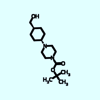 CC(C)(C)OC(=O)N1CCN([C@H]2CC[C@H](CO)CC2)CC1